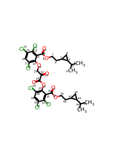 CC(C)C1CC1CCOC(=O)c1c(Cl)c(Cl)cc(Cl)c1OCC(=O)C(=O)Oc1c(Cl)cc(Cl)c(Cl)c1C(=O)OCCC1CC1C(C)C